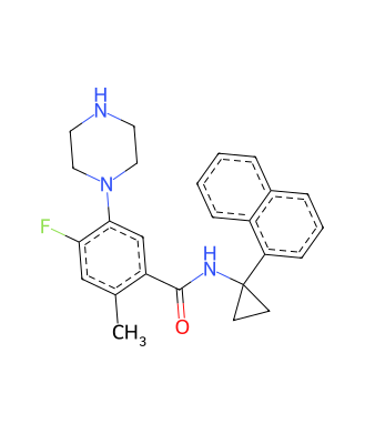 Cc1cc(F)c(N2CCNCC2)cc1C(=O)NC1(c2cccc3ccccc23)CC1